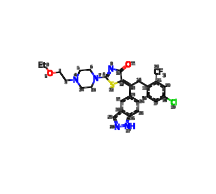 CCOCCN1CCN(C2=NC(=O)C(=C(Cc3ccc(Cl)cc3C(F)(F)F)c3ccc4[nH]ncc4c3)S2)CC1